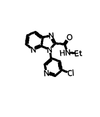 CCNC(=O)c1nc2cccnc2n1-c1cncc(Cl)c1